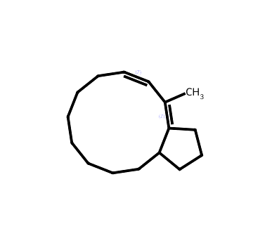 CC1=C2\CCCC2CCCCCCC/C=C\1